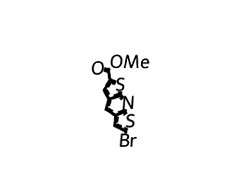 COC(=O)c1cc2cc3cc(Br)sc3nc2s1